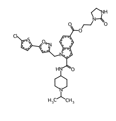 CC(C)N1CCC(NC(=O)c2cc3cc(C(=O)OCCN4CCNC4=O)ccc3n2Cc2cc(-c3ccc(Cl)s3)on2)CC1